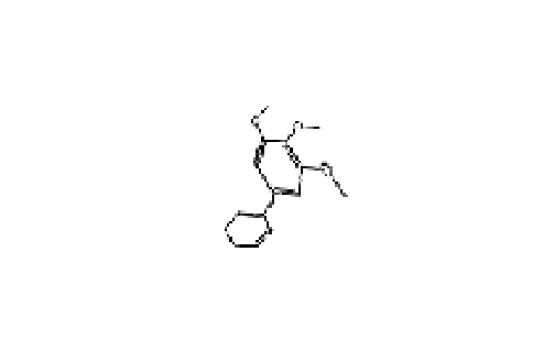 COc1cc(C2=CCCC=C2)cc(OC)c1OC